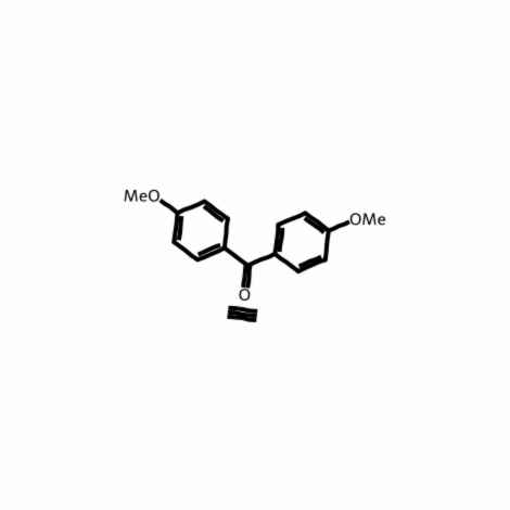 C#C.COc1ccc(C(=O)c2ccc(OC)cc2)cc1